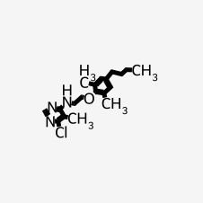 CCCCc1cc(C)c(OCCNc2ncnc(Cl)c2C)c(C)c1